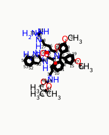 COc1ccc(C(c2ccccc2)(c2ccc(OC)cc2)N(C(=O)[C@H](N)CCCNC(=N)N)[C@@H](CCCCNC(=O)OC(C)(C)C)C(=O)N[C@@H](Cc2ccccc2)C(N)=O)cc1